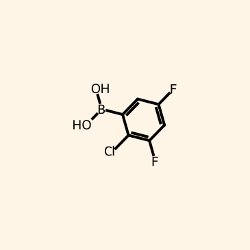 OB(O)c1cc(F)cc(F)c1Cl